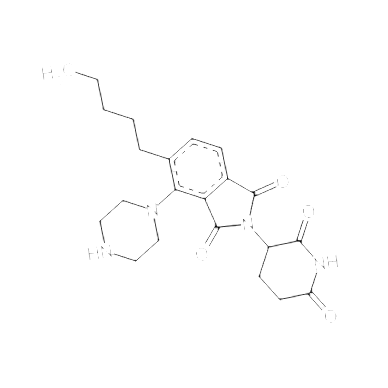 CCCCCc1ccc2c(c1N1CCNCC1)C(=O)N(C1CCC(=O)NC1=O)C2=O